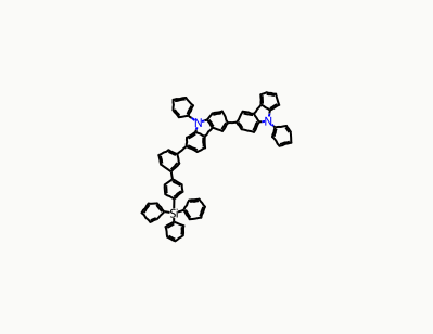 c1ccc(-n2c3ccccc3c3cc(-c4ccc5c(c4)c4ccc(-c6cccc(-c7ccc([Si](c8ccccc8)(c8ccccc8)c8ccccc8)cc7)c6)cc4n5-c4ccccc4)ccc32)cc1